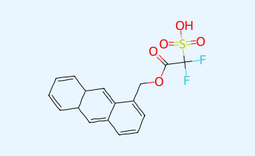 O=C(OCc1cccc2c1=CC1C=CC=CC1C=2)C(F)(F)S(=O)(=O)O